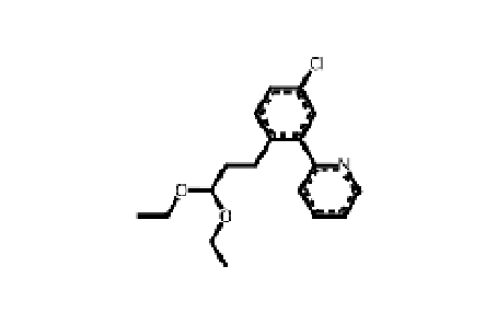 CCOC(CCc1ccc(Cl)cc1-c1ccccn1)OCC